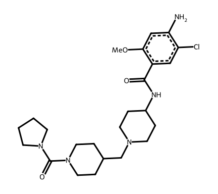 COc1cc(N)c(Cl)cc1C(=O)NC1CCN(CC2CCN(C(=O)N3CCCC3)CC2)CC1